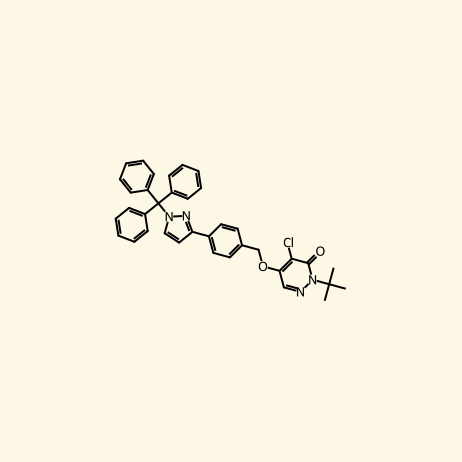 CC(C)(C)n1ncc(OCc2ccc(-c3ccn(C(c4ccccc4)(c4ccccc4)c4ccccc4)n3)cc2)c(Cl)c1=O